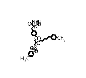 Cc1ccc(S(=O)(=O)OCC(COc2ccc(C[C@H](N=[N+]=[N-])C(N)=O)cc2)OC(=O)CCCCc2ccc(C(F)(F)F)cc2)cc1